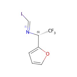 FC(F)(F)[C@@H](/N=C/I)c1ccco1